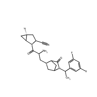 CC(c1cc(F)cc(F)c1)N1C(=O)C2CC1CN2CC(N)C(=O)N1C(C#N)C[C@@H]2CC21